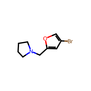 Brc1coc(CN2CCCC2)c1